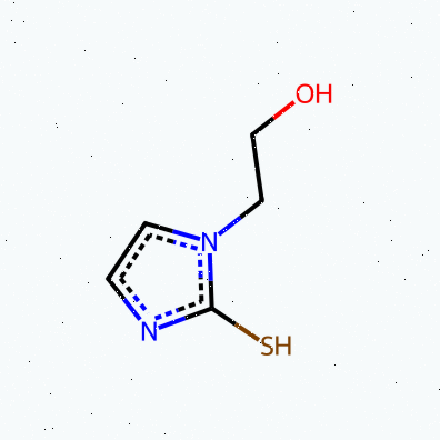 OCCn1ccnc1S